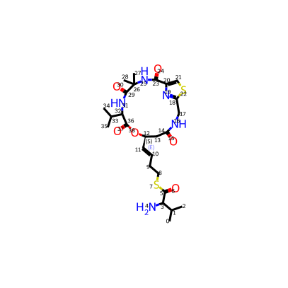 CC(C)C(N)C(=O)SCC/C=C/[C@@H]1CC(=O)NCc2nc(cs2)C(=O)NC(C)(C)C(=O)NC(C(C)C)C(=O)O1